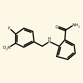 NC(=O)c1ccccc1NCc1ccc(F)c([N+](=O)[O-])c1